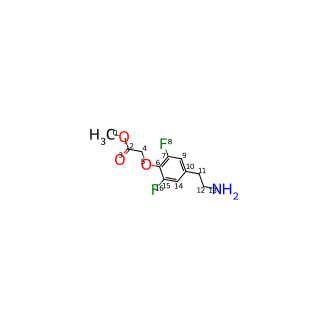 COC(=O)COc1c(F)cc(CCN)cc1F